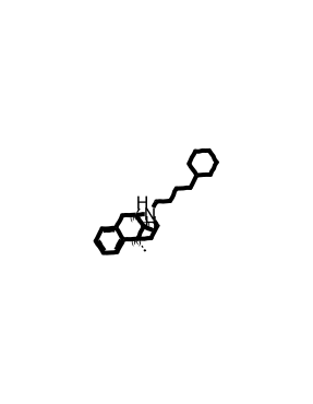 C[C@@H]1[C@H]2Cc3ccccc3[C@]1(C)CCN2CCCCC1CCCCC1